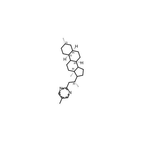 Cc1cnc(C[C@@H](C)C2CCC3[C@@H]4CC[C@@H]5C[C@@H](C)CC[C@@H]5C4CC[C@@]32C)nc1